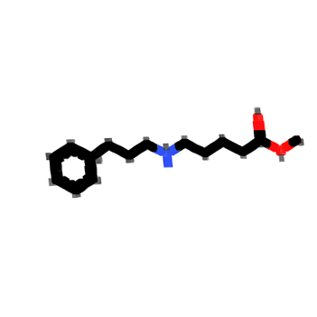 COC(=O)CCCCNCCCc1ccccc1